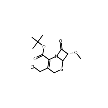 CO[C@H]1C(=O)N2C(C(=O)OC(C)(C)C)=C(CCl)CSC12